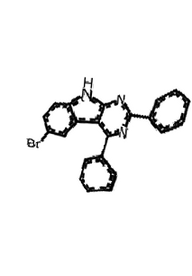 Brc1ccc2[nH]c3nc(-c4ccccc4)nc(-c4ccccc4)c3c2c1